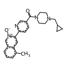 Cc1cccc2c[n+]([O-])c(-c3ccc(C(=O)N4CCN(CC5CC5)CC4)cn3)cc12